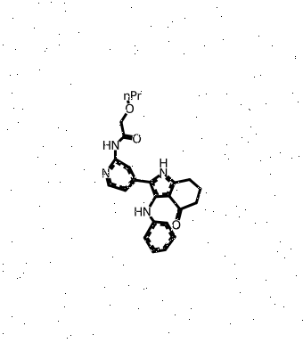 CCCOCC(=O)Nc1cc(-c2[nH]c3c(c2Nc2ccccc2)C(=O)CCC3)ccn1